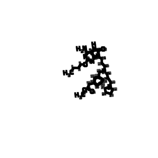 CCCCOc1nc(N)c2[nH]c(=O)n(CCCN(CCCN3CCCC3)Cc3cccc(CC(=O)OC)c3)c2n1